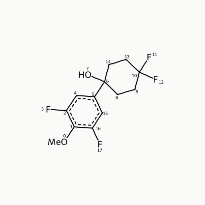 COc1c(F)cc(C2(O)CCC(F)(F)CC2)cc1F